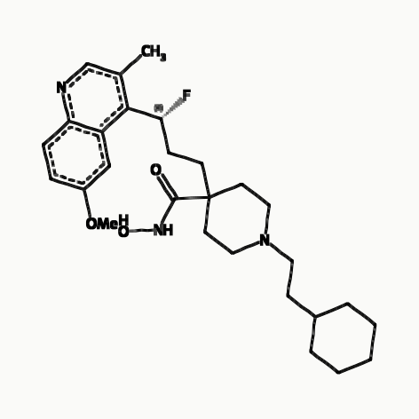 COc1ccc2ncc(C)c([C@H](F)CCC3(C(=O)NO)CCN(CCC4CCCCC4)CC3)c2c1